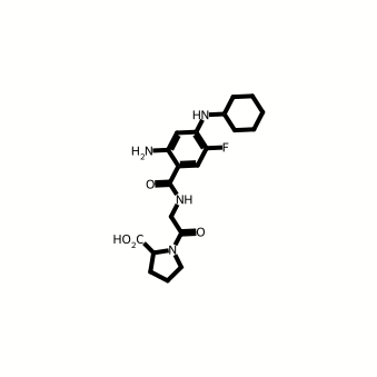 Nc1cc(NC2CCCCC2)c(F)cc1C(=O)NCC(=O)N1CCCC1C(=O)O